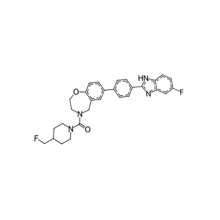 O=C(N1CCC(CF)CC1)N1CCOc2ccc(-c3ccc(-c4nc5cc(F)ccc5[nH]4)cc3)cc2C1